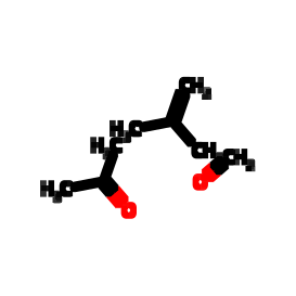 C=C(C)C.C=O.CC(C)=O